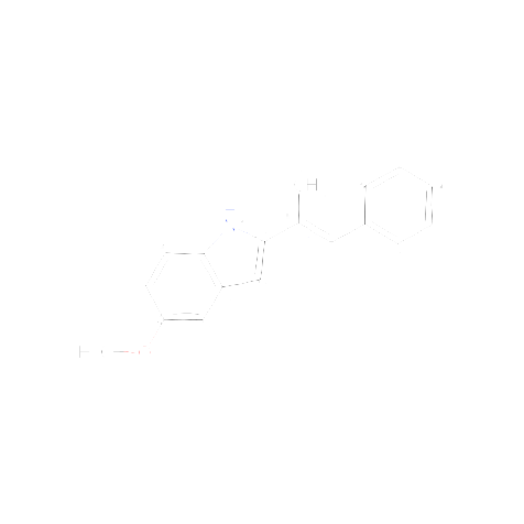 COc1ccc2[nH]c(/C(C)=C/c3ccccc3)cc2c1